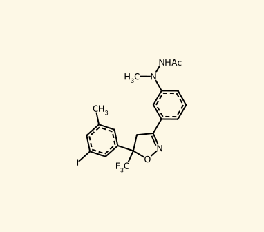 CC(=O)NN(C)c1cccc(C2=NOC(c3cc(C)cc(I)c3)(C(F)(F)F)C2)c1